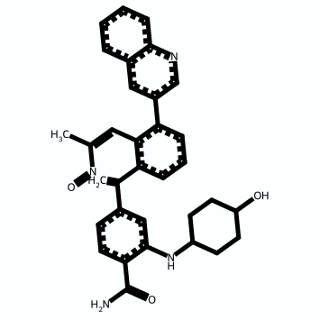 C=C(c1ccc(C(N)=O)c(NC2CCC(O)CC2)c1)c1cccc(-c2cnc3ccccc3c2)c1/C=C(/C)N=O